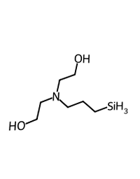 OCCN(CCO)CCC[SiH3]